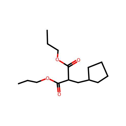 CCCOC(=O)C(CC1CCCC1)C(=O)OCCC